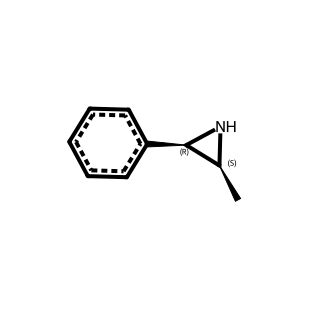 C[C@@H]1N[C@@H]1c1ccccc1